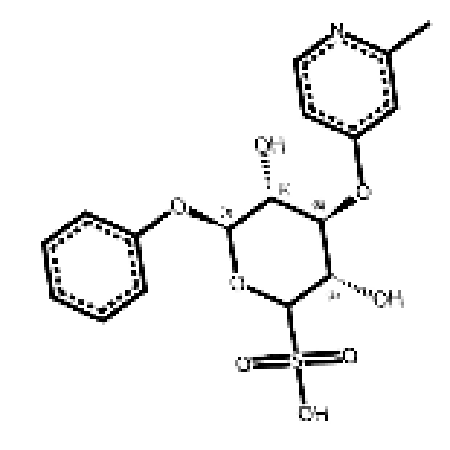 Cc1cc(O[C@@H]2[C@@H](O)[C@H](Oc3ccccc3)OC(S(=O)(=O)O)[C@H]2O)ccn1